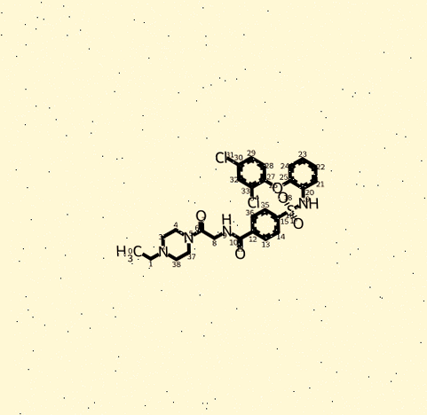 CCN1CCN(C(=O)CNC(=O)c2ccc(S(=O)(=O)Nc3ccccc3Oc3ccc(Cl)cc3Cl)cc2)CC1